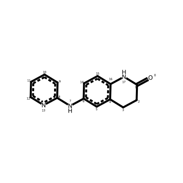 O=C1CCc2cc(Nc3ccccn3)ccc2N1